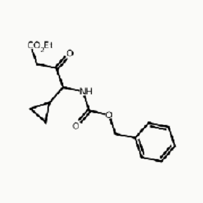 CCOC(=O)CC(=O)C(NC(=O)OCc1ccccc1)C1CC1